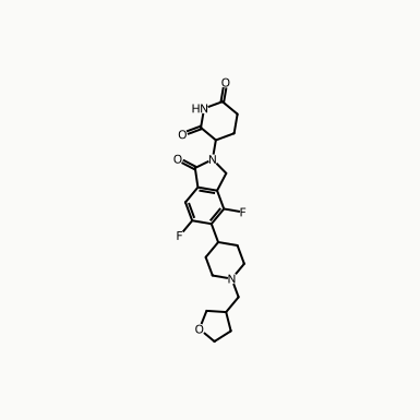 O=C1CCC(N2Cc3c(cc(F)c(C4CCN(CC5CCOC5)CC4)c3F)C2=O)C(=O)N1